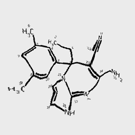 CCC1(c2cc(C)cc(C)c2)C(C#N)=C(N)N=C2NC=CN21